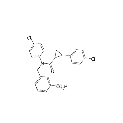 O=C(O)c1cccc(CN(C(=O)C2C[C@@H]2c2ccc(Cl)cc2)c2ccc(Cl)cc2)c1